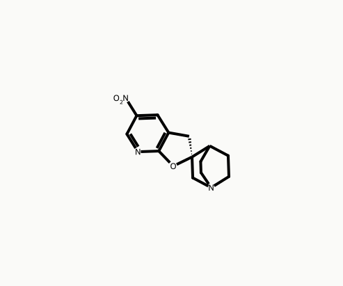 O=[N+]([O-])c1cnc2c(c1)C[C@]1(CN3CCC1CC3)O2